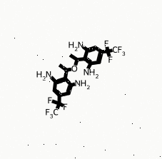 CC(OC(C)c1c(N)cc(C(F)(F)C(F)(F)F)cc1N)c1c(N)cc(C(F)(F)C(F)(F)F)cc1N